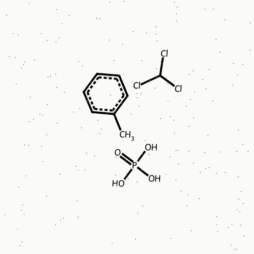 Cc1ccccc1.ClC(Cl)Cl.O=P(O)(O)O